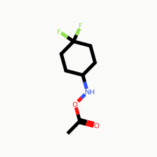 CC(=O)ONC1CCC(F)(F)CC1